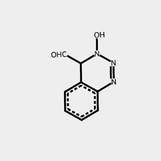 O=CC1c2ccccc2N=NN1O